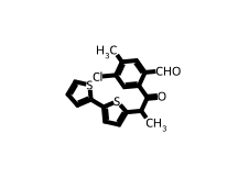 Cc1cc(C=O)c(C(=O)C(C)c2ccc(-c3cccs3)s2)cc1Cl